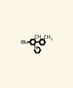 Cc1cccc(-c2c(C)cc(C(C)(C)C)cc2N2C=CC=CC2)c1